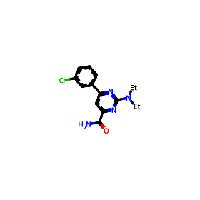 CCN(CC)c1nc(C(N)=O)cc(-c2cccc(Cl)c2)n1